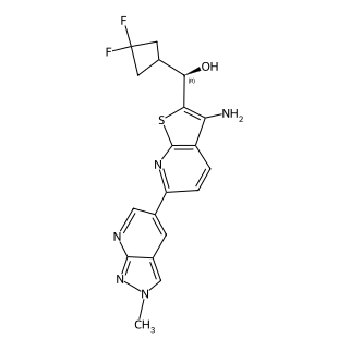 Cn1cc2cc(-c3ccc4c(N)c([C@H](O)C5CC(F)(F)C5)sc4n3)cnc2n1